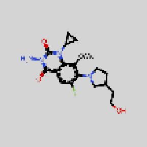 COc1c(N2CCC(CCO)C2)c(F)cc2c(=O)n(N)c(=O)n(C3CC3)c12